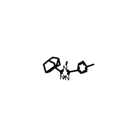 Cc1ccc(-c2nnc(C34CC5CC(CC(C5)C3)C4)n2C)cc1